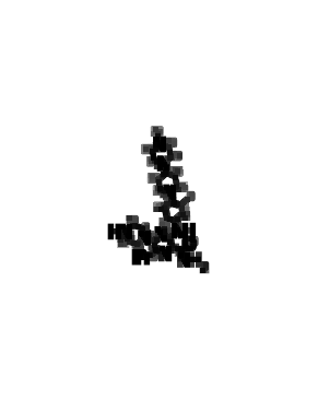 Cc1cc(Nc2nc(N3CCNCC3)c(C(C)C)nc2C(N)=O)ccc1N1CCC(N2CCN(C)CC2)CC1